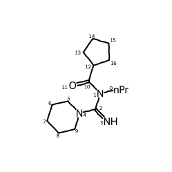 CCCN(C(=N)N1CCCCC1)C(=O)C1CCCC1